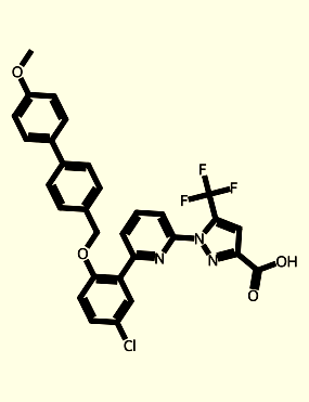 COc1ccc(-c2ccc(COc3ccc(Cl)cc3-c3cccc(-n4nc(C(=O)O)cc4C(F)(F)F)n3)cc2)cc1